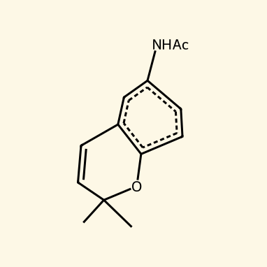 CC(=O)Nc1ccc2c(c1)C=CC(C)(C)O2